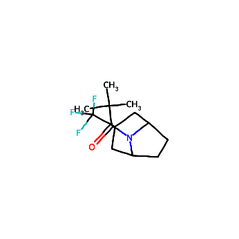 CC(C)(C)C(=O)N1C2CCC1CC(C(F)(F)F)C2